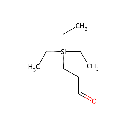 CC[Si](CC)(CC)CCC=O